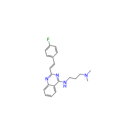 CN(C)CCCNc1nc(C=Cc2ccc(F)cc2)nc2ccccc12